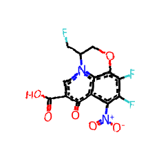 O=C(O)c1cn2c3c(c(F)c(F)c([N+](=O)[O-])c3c1=O)OCC2CF